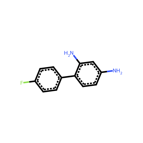 Nc1ccc(-c2ccc(F)cc2)c(N)c1